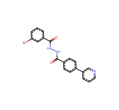 O=C(NNC(=O)c1cccc(Br)c1)c1ccc(-c2cccnc2)cc1